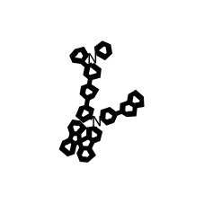 c1ccc(-n2c3ccccc3c3cc(-c4ccc(-c5cccc(N(c6ccc(-c7ccc8ccccc8c7)cc6)c6ccc7c(c6)C6(c8ccccc8-c8ccccc86)c6ccccc6-7)c5)cc4)ccc32)cc1